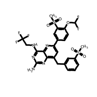 CS(=O)(=O)c1cccc(Cc2cc(-c3ccc(OC(F)F)c(S(C)(=O)=O)c3)nc3c(NCC(F)(F)F)nc(N)nc23)c1